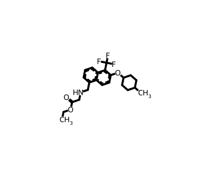 CCOC(=O)CNCc1cccc2c(C(F)(F)F)c(OC3CCC(C)CC3)ccc12